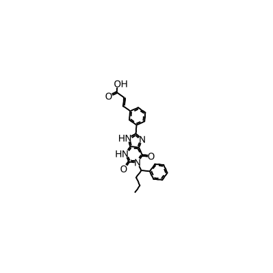 CCCC(c1ccccc1)n1c(=O)[nH]c2[nH]c(-c3cccc(C=CC(=O)O)c3)nc2c1=O